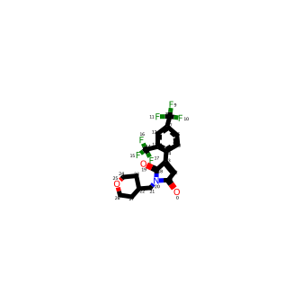 O=C1C=C(c2ccc(C(F)(F)F)cc2C(F)(F)F)C(=O)N1CC1CCOCC1